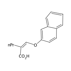 CCCC(=COc1ccc2ccccc2c1)C(=O)O